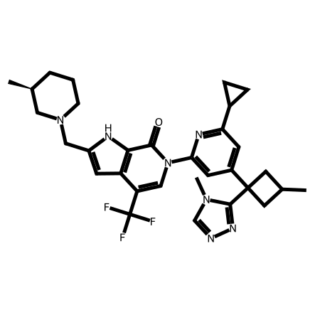 CC1CC(c2cc(C3CC3)nc(-n3cc(C(F)(F)F)c4cc(CN5CCC[C@H](C)C5)[nH]c4c3=O)c2)(c2nncn2C)C1